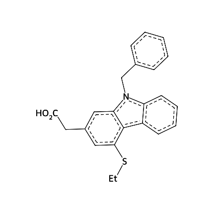 CCSc1cc(CC(=O)O)cc2c1c1ccccc1n2Cc1ccccc1